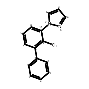 Clc1c(-c2ccccc2)cccc1-n1cccn1